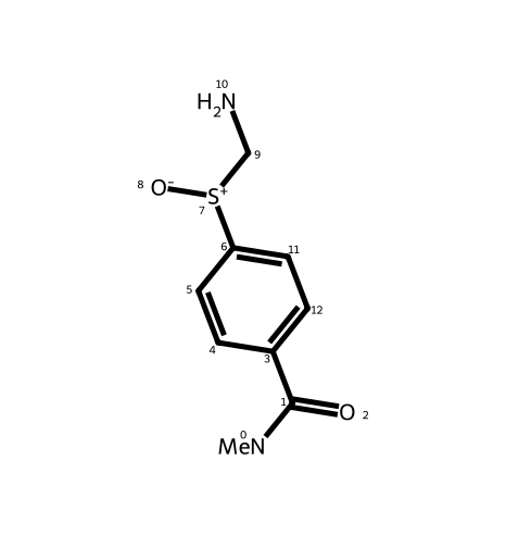 CNC(=O)c1ccc([S+]([O-])CN)cc1